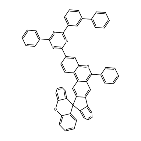 c1ccc(-c2cccc(-c3nc(-c4ccccc4)nc(-c4ccc5c(c4)nc(-c4ccccc4)c4cc6c(cc45)C4(c5ccccc5Oc5ccccc54)c4ccccc4-6)n3)c2)cc1